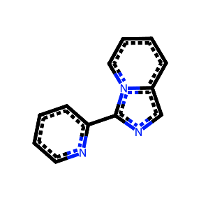 c1ccc(-c2ncc3ccccn23)nc1